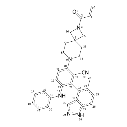 C=CC(=O)N1CC2(CCN(c3ccc(Nc4ccccc4)c(-c4c(C)ccc5[nH]ncc45)c3C#N)CC2)C1